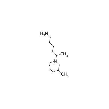 CC1CCCN(C(C)CCCCN)C1